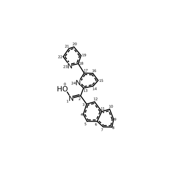 ON=C(c1ccc2ccccc2c1)c1cccc(-c2ccccn2)n1